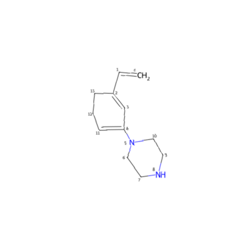 C=CC1=CC(N2CCNCC2)=CCC1